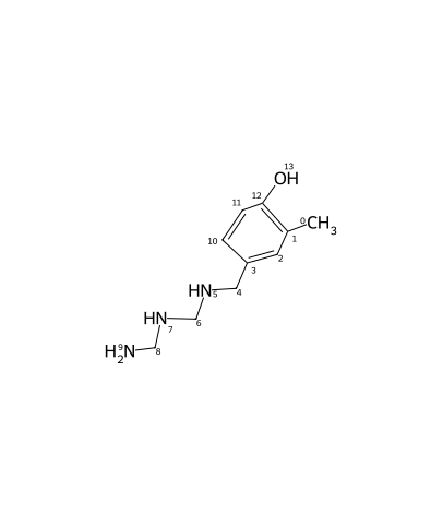 Cc1cc(CNCNCN)ccc1O